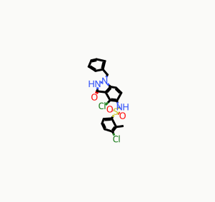 Cc1c(Cl)cccc1S(=O)(=O)Nc1ccc2c(c1Cl)c(=O)[nH]n2Cc1ccccc1